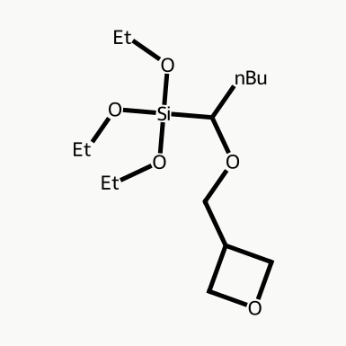 CCCCC(OCC1COC1)[Si](OCC)(OCC)OCC